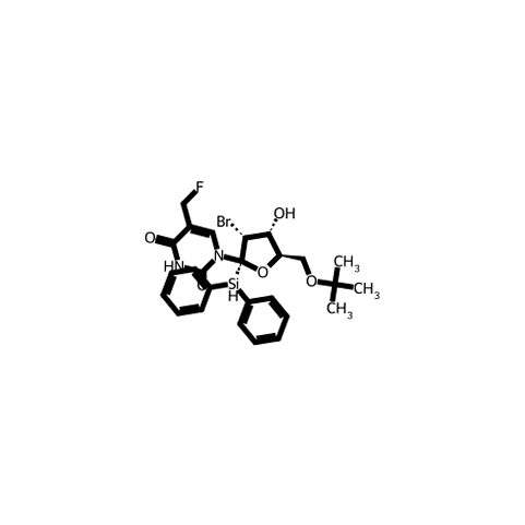 CC(C)(C)OC[C@H]1O[C@](n2cc(CF)c(=O)[nH]c2=O)([SiH](c2ccccc2)c2ccccc2)[C@H](Br)[C@@H]1O